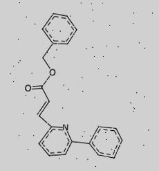 O=C(/C=C/c1cccc(-c2ccccc2)n1)OCc1ccccc1